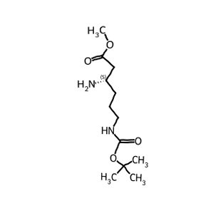 COC(=O)C[C@@H](N)CCCNC(=O)OC(C)(C)C